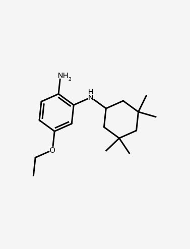 CCOc1ccc(N)c(NC2CC(C)(C)CC(C)(C)C2)c1